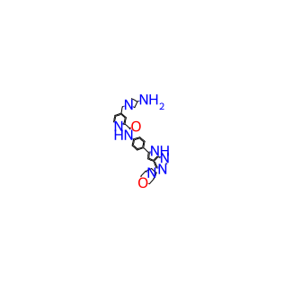 NC1CN(Cc2ccnc(C(=O)Nc3ccc(-c4cc5c(N6C7CCC6COC7)ncnc5[nH]4)cc3)c2)C1